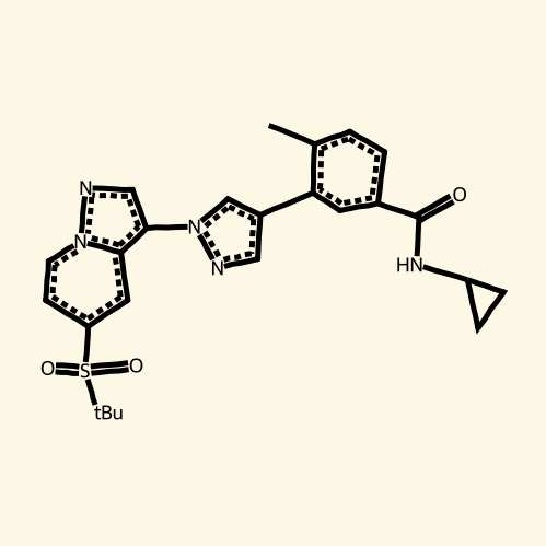 Cc1ccc(C(=O)NC2CC2)cc1-c1cnn(-c2cnn3ccc(S(=O)(=O)C(C)(C)C)cc23)c1